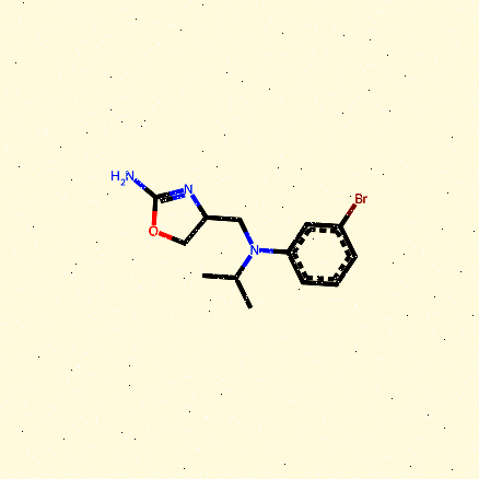 CC(C)N(CC1COC(N)=N1)c1cccc(Br)c1